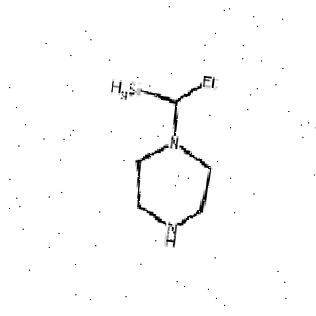 CCC([SiH3])N1CCNCC1